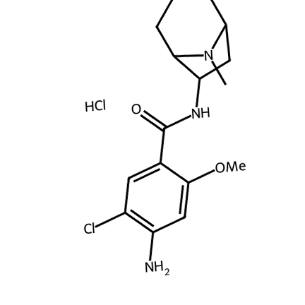 COc1cc(N)c(Cl)cc1C(=O)NC1CC2CCCC1N2C.Cl